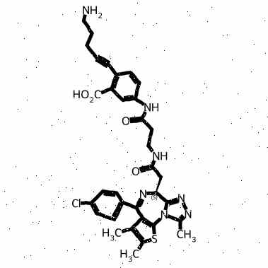 Cc1sc2c(c1C)C(c1ccc(Cl)cc1)=N[C@@H](CC(=O)NCCC(=O)Nc1ccc(C#CCCCN)c(C(=O)O)c1)c1nnc(C)n1-2